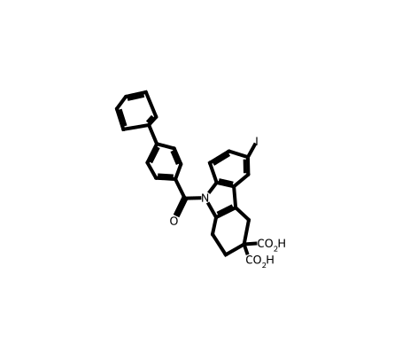 O=C(c1ccc(-c2ccccc2)cc1)n1c2c(c3cc(I)ccc31)CC(C(=O)O)(C(=O)O)CC2